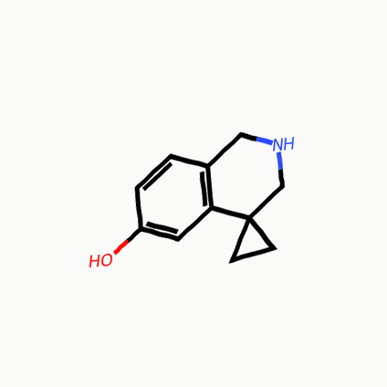 Oc1ccc2c(c1)C1(CC1)CNC2